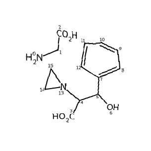 NCC(=O)O.O=C(O)C(C(O)c1ccccc1)N1CC1